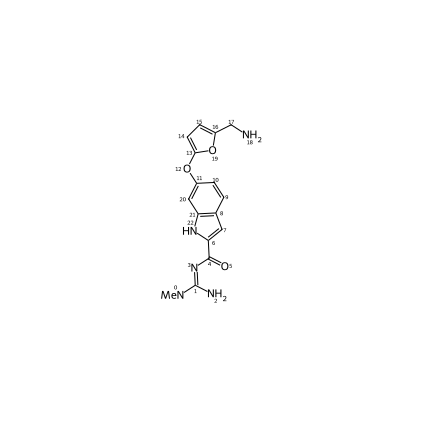 CNC(N)=NC(=O)c1cc2ccc(Oc3ccc(CN)o3)cc2[nH]1